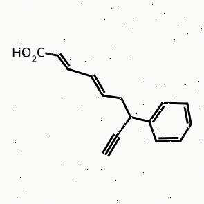 C#CC(C/C=C/C=C/C(=O)O)c1ccccc1